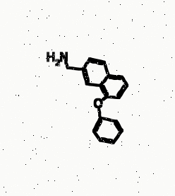 NCc1ccc2cccc(Oc3ccccc3)c2c1